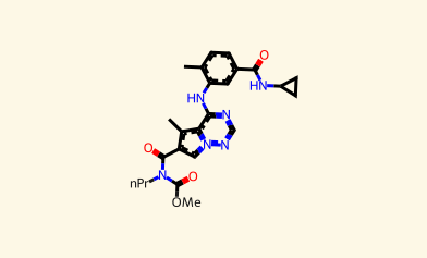 CCCN(C(=O)OC)C(=O)c1cn2ncnc(Nc3cc(C(=O)NC4CC4)ccc3C)c2c1C